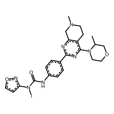 CC1COCCN1c1nc(-c2ccc(NC(=O)N(I)c3ccon3)cc2)nc2c1CCN(C)C2